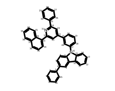 c1ccc(-c2ccc3c(c2)c2ccccc2n3-c2cccc(-c3cc(-c4ccccc4)nc(-c4cccc5ccccc45)c3)c2)cc1